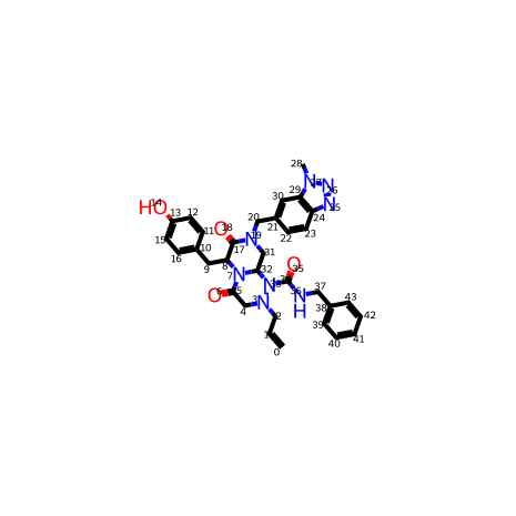 C=CCN1CC(=O)N2C(Cc3ccc(O)cc3)C(=O)N(Cc3ccc4nnn(C)c4c3)CC2N1C(=O)NCc1ccccc1